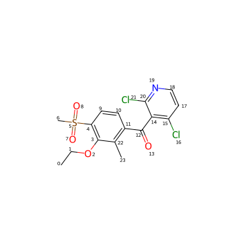 CCOc1c(S(C)(=O)=O)ccc(C(=O)c2c(Cl)ccnc2Cl)c1C